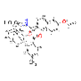 C=COc1ccc2c(OCc3ccc(C(F)(F)F)cc3)c(C(=O)NC(C(=O)O)C34CC5CC(CC(C5)C3)C4)ccc2c1